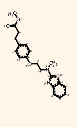 COC(=O)CCc1ccc(OCCN(C)c2nc3ccccc3o2)cc1